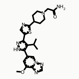 COc1cc(-c2[nH]nc(-c3cnc(C4CCN(CC(N)=O)CC4)s3)c2C(C)C)cn2ncnc12